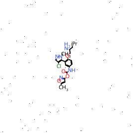 Cc1cc(OC(=O)Nc2ccc(OC[C@H](N)CC(C)C)c(-c3c(Cl)cnn3C)c2)no1